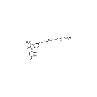 Cn1c(=O)n(C2CCC(=O)NC2=O)c2ccc(CCCCOCCCCNCC(=O)O)cc21